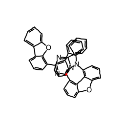 c1ccc(-c2nc(-c3cccc4c3oc3ccccc34)nc(-c3cccc4oc5cccc(-n6c7ccccc7c7ccccc76)c5c34)n2)cc1